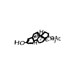 C=C[C@@]12CCc3cc(O)ccc3[C@H]1CC[C@]1(C)[C@@H](OC(C)=O)CC[C@H]12